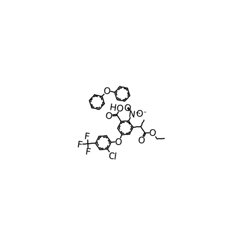 CCOC(=O)C(C)c1cc(Oc2ccc(C(F)(F)F)cc2Cl)cc(C(=O)O)c1[N+](=O)[O-].c1ccc(Oc2ccccc2)cc1